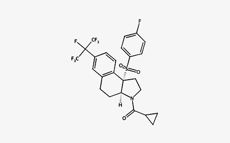 O=C(C1CC1)N1CC[C@]2(S(=O)(=O)c3ccc(F)cc3)c3ccc(C(F)(C(F)(F)F)C(F)(F)F)cc3CC[C@H]12